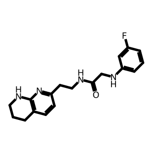 O=C(CNc1cccc(F)c1)NCCc1ccc2c(n1)NCCC2